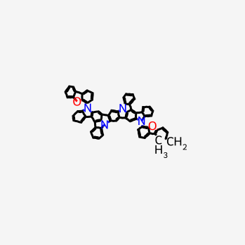 C=C/C=C\c1oc2c(-n3c4ccccc4c4c5c6ccccc6n6c7cc8c9cc%10c(c%11ccccc%11n%10-c%10cccc%11c%10oc%10ccccc%10%11)c%10c%11ccccc%11n(c8cc7c(cc43)c56)c9%10)cccc2c1C